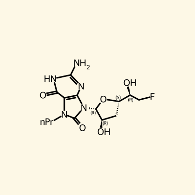 CCCn1c(=O)n([C@@H]2O[C@H]([C@@H](O)CF)C[C@H]2O)c2nc(N)[nH]c(=O)c21